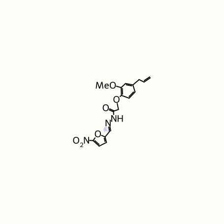 C=CCc1ccc(OCC(=O)N/N=C/c2ccc([N+](=O)[O-])o2)c(OC)c1